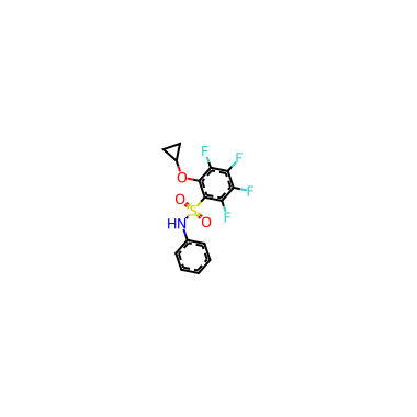 O=S(=O)(Nc1ccccc1)c1c(F)c(F)c(F)c(F)c1OC1CC1